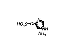 N.O=S(=O)(O)O.c1c[nH]cn1